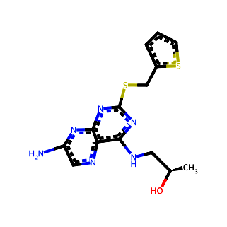 C[C@@H](O)CNc1nc(SCc2cccs2)nc2nc(N)cnc12